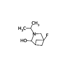 CC(C)N1CC2(F)CC(C2)C1O